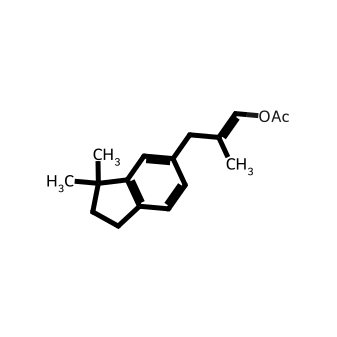 CC(=O)O/C=C(\C)Cc1ccc2c(c1)C(C)(C)CC2